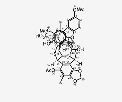 COc1ccc2oc3c(c2c1)C[C@@H](C(=O)O)N[C@]31CS[C@@H]2c3c(OC(C)=O)c(C)c4c(c3[C@H](COC1=O)N1[C@@H]2C2c3c(cc(C)c(OC)c3O)CC1(O)CN2C)OCO4